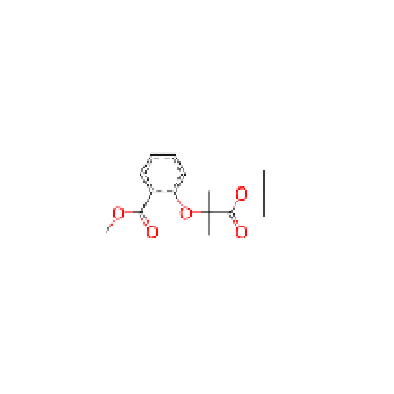 COC(=O)c1ccccc1OC(C)(C)C(=O)OC(C)(C)C